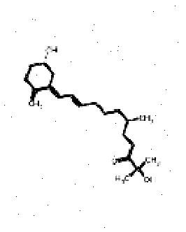 C=C1CC[C@H](O)CC1=CC=CCCC[C@@H](C)CCC(=O)C(C)(C)O